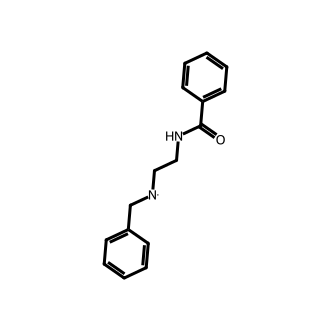 O=C(NCC[N]Cc1ccccc1)c1ccccc1